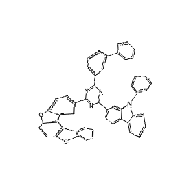 c1ccc(-c2cccc(-c3nc(-c4ccc5oc6ccc7sc8ccccc8c7c6c5c4)nc(-c4ccc5c6ccccc6n(-c6ccccc6)c5c4)n3)c2)cc1